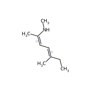 CC/C(C)=C/C=C(/C)NC